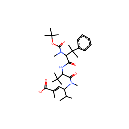 C/C(=C\C(C(C)C)N(C)C(=O)C(NC(=O)C(N(C)C(=O)OC(C)(C)C)C(C)(C)c1ccccc1)C(C)(C)C)C(=O)O